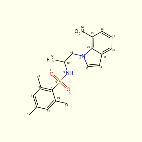 Cc1cc(C)c(S(=O)(=O)NC(Cn2ccc3cccc([N+](=O)[O-])c32)C(F)(F)F)c(C)c1